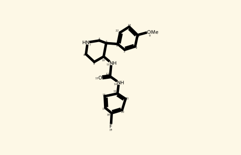 COc1ccc(C2CNCCC2NC(=O)Nc2ccc(F)cc2)cc1